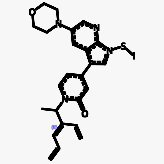 C=C/C=C(\C=C)C(C)n1ccc(-c2cn(SI)c3ncc(N4CCOCC4)cc23)cc1=O